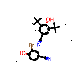 CC(C)(C)c1cc(C#N)cc(C(C)(C)C)c1O.N#Cc1ccc(O)c(Br)c1